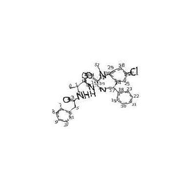 C[C@H](NC(=O)Cc1ccccc1)C(=O)N[C@H]1N=C(c2ccccc2)c2cc(Cl)ccc2N(C)C1=O